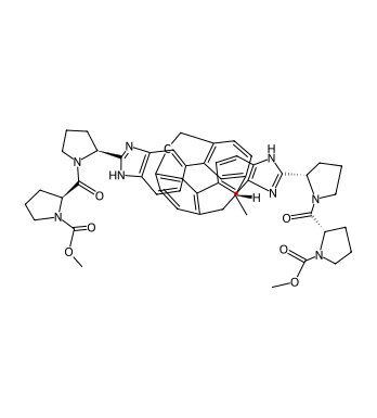 COC(=O)N1CCC[C@H]1C(=O)N1CCC[C@H]1c1nc2cc(-c3cc4ccc3CCc3ccc(c(-c5ccc6[nH]c([C@@H]7CCCN7C(=O)[C@@H]7CCCN7C(=O)OC)nc6c5)c3)C[C@H]4C)ccc2[nH]1